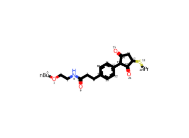 CCCCOCCNC(=O)CCc1ccc(C2C(=O)CC(SC(C)C)C2=O)cc1